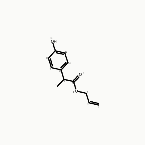 C=CCOC(=O)C(C)c1ccc(O)cc1